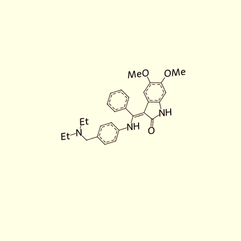 CCN(CC)Cc1ccc(N/C(=C2\C(=O)Nc3cc(OC)c(OC)cc32)c2ccccc2)cc1